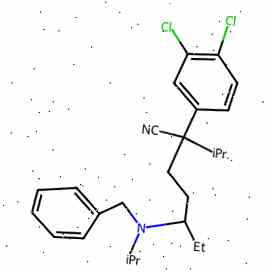 CCC(CCC(C#N)(c1ccc(Cl)c(Cl)c1)C(C)C)N(Cc1ccccc1)C(C)C